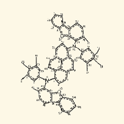 Cc1cc(N(c2ccc3ccc4c(N(c5cc(C)c(C)c(C)c5)c5c(C)ccc6c5oc5ccccc56)ccc5ccc2c3c54)c2c(C)ccc3c2oc2ccccc23)cc(C)c1C